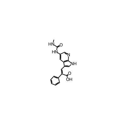 CNC(=O)Nc1cnc2[nH]cc(C=C(C(=O)O)c3ccccc3)c2c1